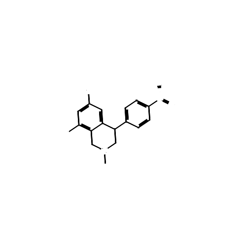 CN1Cc2c(Cl)cc(Cl)cc2C(c2ccc([SH](=O)=O)cc2)C1